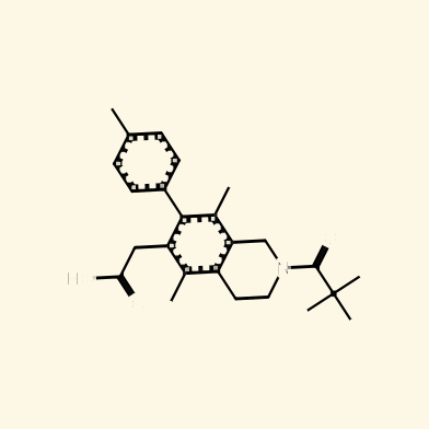 Cc1ccc(-c2c(C)c3c(c(C)c2CC(=O)O)CCN(C(=O)C(C)(C)C)C3)cc1